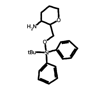 CC(C)(C)[Si](OCC1OCCCC1N)(c1ccccc1)c1ccccc1